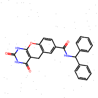 O=C(NC(c1ccccc1)c1ccccc1)c1ccc2c(c1)Cc1c([nH]c(=O)[nH]c1=O)O2